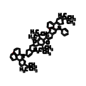 CC(C)(C)c1ccc(-c2ccccc2)c(N(c2ccccc2)c2ccc3cc4c(cc3c2)oc2c(C(C)(C)C)c3c(oc5cc6cc(N(c7ccccc7)c7cc(C(C)(C)C)ccc7-c7ccccc7)ccc6cc53)c(C(C)(C)C)c24)c1